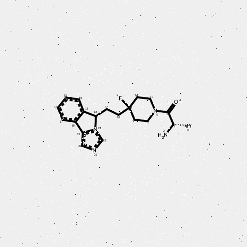 CC(C)[C@H](N)C(=O)N1CCC(F)(CCC2c3ccccc3-c3cncn32)CC1